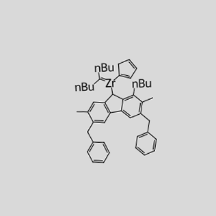 CCCC[C](CCCC)=[Zr]([C]1=CC=CC1)[CH]1c2cc(C)c(Cc3ccccc3)cc2-c2cc(Cc3ccccc3)c(C)c(CCCC)c21